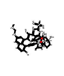 COCOc1cc(-c2ncc3c(C4C[C@H]5CC[C@@H](C4)N5C(=O)O)nc(S(C)(=O)=O)nc3c2F)c2c(C#C[Si](C(C)C)(C(C)C)C(C)C)c(F)ccc2c1